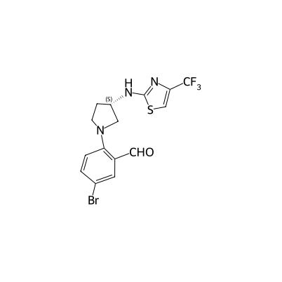 O=Cc1cc(Br)ccc1N1CC[C@H](Nc2nc(C(F)(F)F)cs2)C1